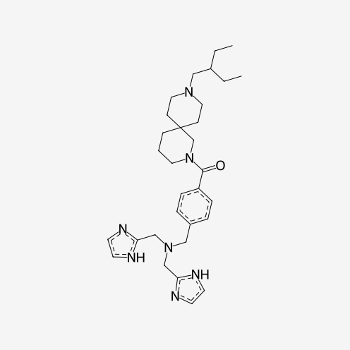 CCC(CC)CN1CCC2(CCCN(C(=O)c3ccc(CN(Cc4ncc[nH]4)Cc4ncc[nH]4)cc3)C2)CC1